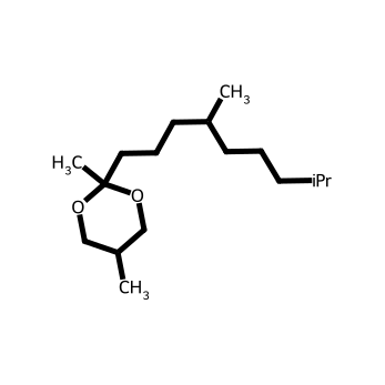 CC(C)CCCC(C)CCCC1(C)OCC(C)CO1